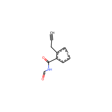 C#CCc1ccccc1C(=O)NC=O